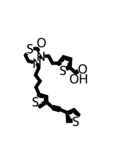 O=C(O)c1ccc(CCN2C(=O)SCCN2CCCCc2cc(C#Cc3ccsc3)cs2)s1